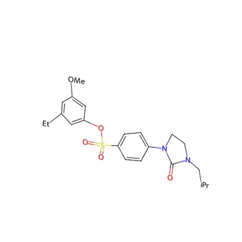 CCc1cc(OC)cc(OS(=O)(=O)c2ccc(N3CCN(CC(C)C)C3=O)cc2)c1